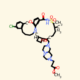 COC(=O)CCN1CCN2CCN(CC3(O)CCCC(C)[C@@H](C)S(=O)(=O)NC(=O)c4ccc5c(c4)N(CCCCc4cc(Cl)ccc4CO5)C[C@@H]4CC[C@H]43)CC2C1